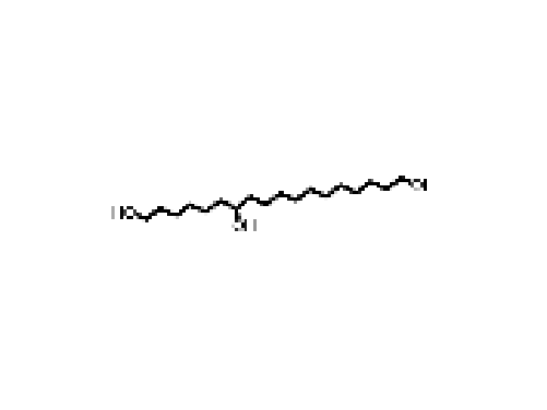 OCCCCCCCCCCCC(O)CCCCCCO